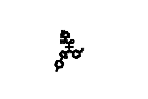 Cc1ccc(-c2ccc([C@H](c3cccc(F)c3)C(C)(C)C(=O)Nc3nncs3)s2)cc1